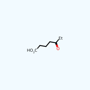 CCC(=O)CCCC(=O)O